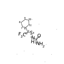 NC(=O)NSC(C1CCCCC1)C(F)(F)F